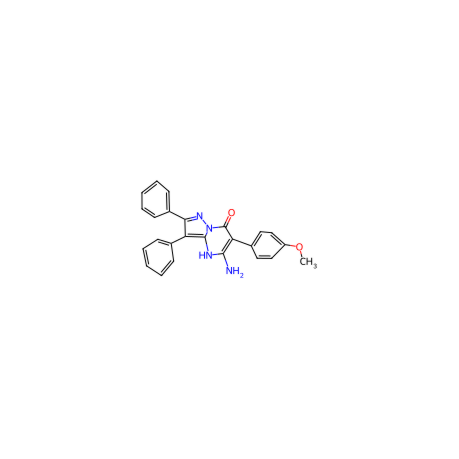 COc1ccc(-c2c(N)[nH]c3c(-c4ccccc4)c(-c4ccccc4)nn3c2=O)cc1